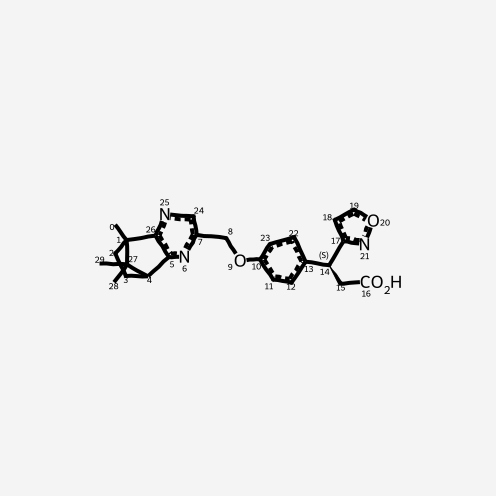 CC12CCC(c3nc(COc4ccc([C@H](CC(=O)O)c5ccon5)cc4)cnc31)C2(C)C